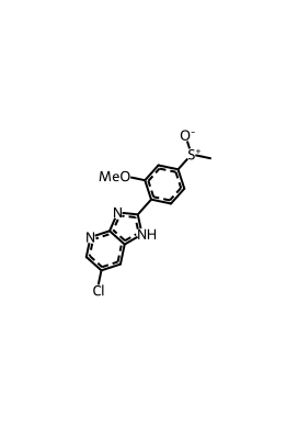 COc1cc([S+](C)[O-])ccc1-c1nc2ncc(Cl)cc2[nH]1